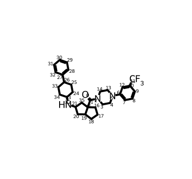 O=C(N1CCN(c2cccc(C(F)(F)F)c2)CC1)C12CCCC1CC(NC1CCC(c3ccccc3)CC1)C2